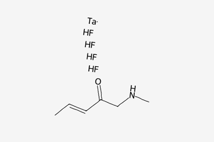 C/C=C/C(=O)CNC.F.F.F.F.[Ta]